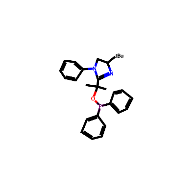 CC(C)(OP(c1ccccc1)c1ccccc1)C1=NC(C(C)(C)C)CN1c1ccccc1